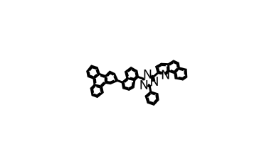 c1ccc(-c2nc(-c3ccc4ccc5ccccc5c4n3)nc(-c3cccc4c(-c5ccc6c7ccccc7c7ccccc7c6c5)cccc34)n2)cc1